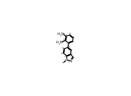 Cn1ncc2cc(-c3cccc(N)c3N)ccc21